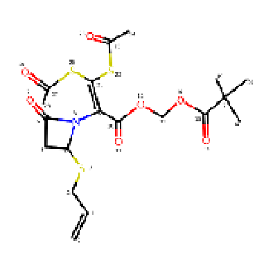 C=CCSC1CC(=O)N1C(C(=O)OCOC(=O)C(C)(C)C)=C(SC(C)=O)SC(C)=O